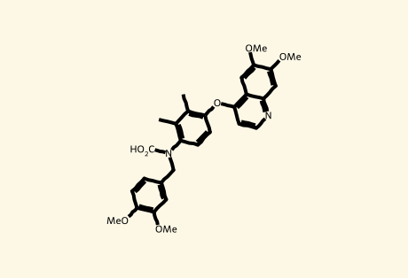 COc1ccc(CN(C(=O)O)c2ccc(Oc3ccnc4cc(OC)c(OC)cc34)c(C)c2C)cc1OC